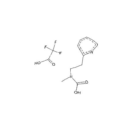 CN(CCc1ccccn1)C(=O)O.O=C(O)C(F)(F)F